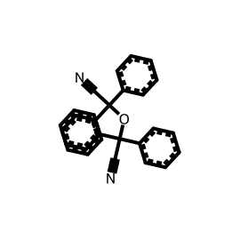 N#CC(OC(C#N)(c1ccccc1)c1ccccc1)(c1ccccc1)c1ccccc1